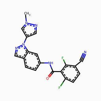 Cn1cc(-n2ncc3ccc(NC(=O)c4c(F)ccc(C#N)c4F)cc32)cn1